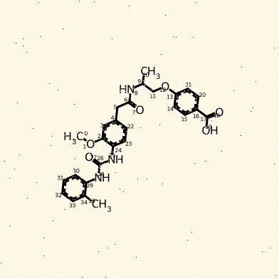 COc1cc(CC(=O)NC(C)COc2ccc(C(=O)O)cc2)ccc1NC(=O)Nc1ccccc1C